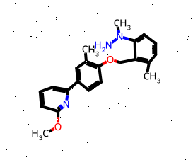 COc1cccc(-c2ccc(OCc3c(C)cccc3N(C)N)c(C)c2)n1